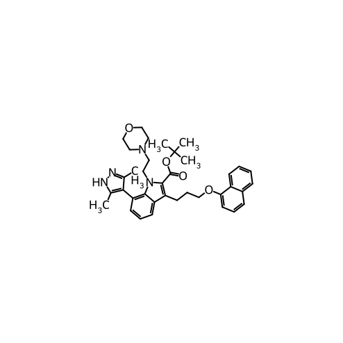 Cc1n[nH]c(C)c1-c1cccc2c(CCCOc3cccc4ccccc34)c(C(=O)OC(C)(C)C)n(CCN3CCOCC3)c12